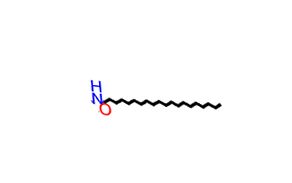 CCCCCCCCCCCCCCCCCCCC(NC)OC